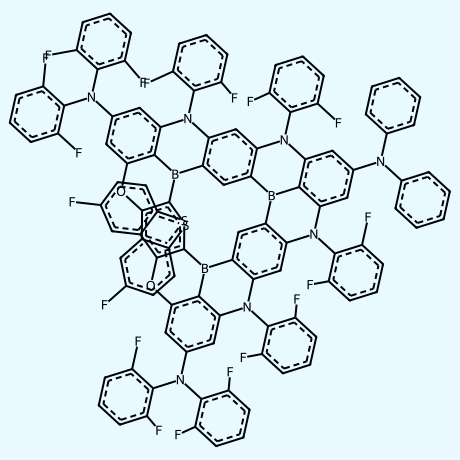 Fc1ccc2sc3c(c2c1)Oc1cc(N(c2c(F)cccc2F)c2c(F)cccc2F)cc2c1B3c1cc3c(cc1N2c1c(F)cccc1F)N(c1c(F)cccc1F)c1cc(N(c2ccccc2)c2ccccc2)cc2c1B3c1cc3c(cc1N2c1c(F)cccc1F)N(c1c(F)cccc1F)c1cc(N(c2c(F)cccc2F)c2c(F)cccc2F)cc2c1B3c1sc3ccc(F)cc3c1O2